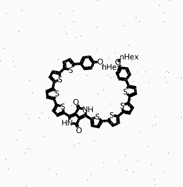 CCCCCCOc1ccc(-c2ccc(-c3ccc(-c4ccc(-c5ccc(C6=C7C(=O)NC(c8ccc(-c9ccc(-c%10ccc(-c%11ccc(-c%12ccc(OCCCCCC)cc%12)s%11)s%10)s9)s8)=C7C(=O)N6)s5)s4)s3)s2)cc1